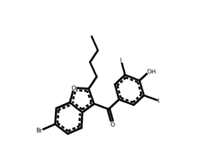 CCCCc1oc2cc(Br)ccc2c1C(=O)c1cc(I)c(O)c(I)c1